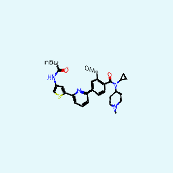 CCCCC(=O)Nc1csc(-c2cccc(-c3ccc(C(=O)N(C4CC4)C4CCN(C)CC4)c(OC)c3)n2)c1